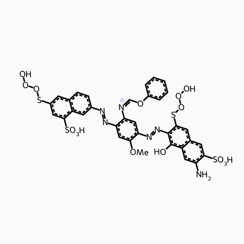 COc1cc(N=Nc2ccc3cc(SOOO)cc(S(=O)(=O)O)c3c2)c(/N=C\Oc2ccccc2)cc1N=Nc1c(SOOO)cc2cc(S(=O)(=O)O)c(N)cc2c1O